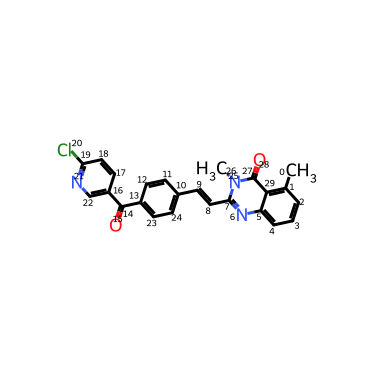 Cc1cccc2nc(C=Cc3ccc(C(=O)c4ccc(Cl)nc4)cc3)n(C)c(=O)c12